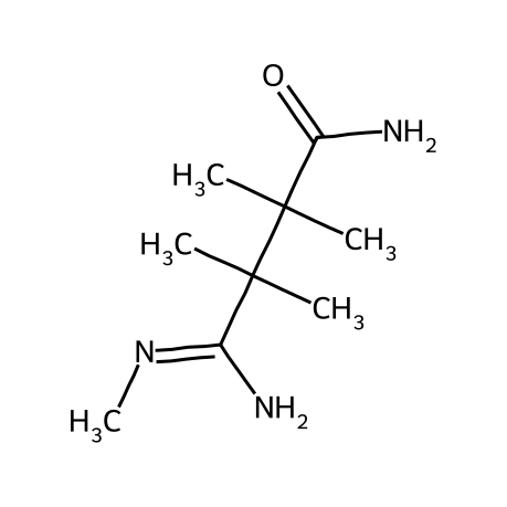 C/N=C(\N)C(C)(C)C(C)(C)C(N)=O